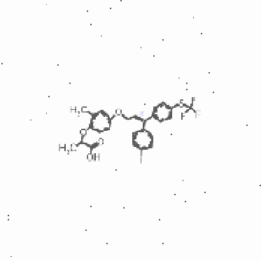 Cc1cc(OC/C=C(\c2ccc(I)cc2)c2ccc(SC(F)(F)F)cc2)ccc1OC(C)C(=O)O